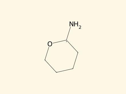 N[C]1CCCCO1